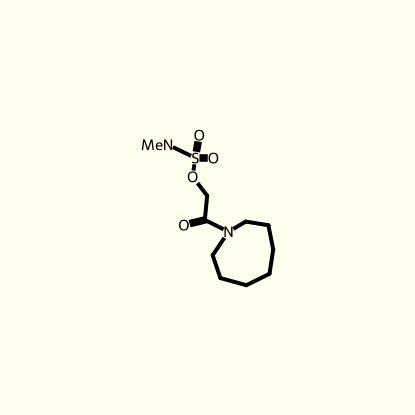 CNS(=O)(=O)OCC(=O)N1CCCCCCC1